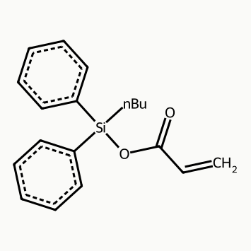 C=CC(=O)O[Si](CCCC)(c1ccccc1)c1ccccc1